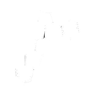 O=C(Nc1cc2ccccc2cn1)[C@H]1CNCC1c1ccccc1